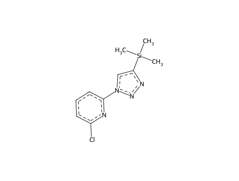 C[Si](C)(C)c1cn(-c2cccc(Cl)n2)nn1